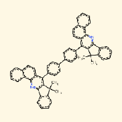 CC1(C)c2ccccc2-c2nc3c(ccc4ccccc43)c(-c3ccc(-c4ccc(-c5c6c(nc7c5ccc5ccccc57)-c5ccccc5C6(C)C)cc4)cc3)c21